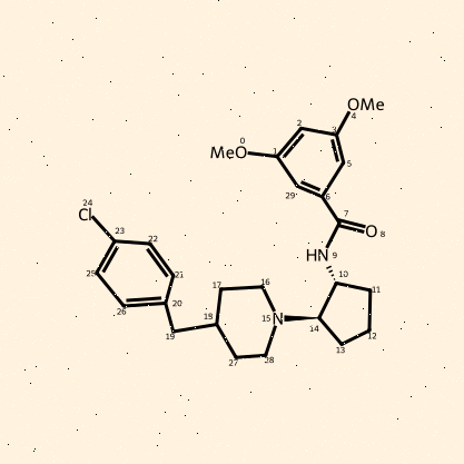 COc1cc(OC)cc(C(=O)N[C@@H]2CCC[C@H]2N2CCC(Cc3ccc(Cl)cc3)CC2)c1